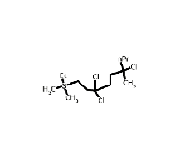 CCCC(C)(Cl)CCC(Cl)(Cl)CCS(C)(C)CC